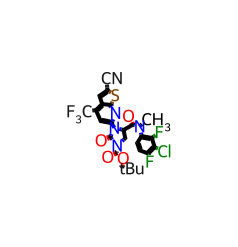 CN(C(=O)C1CN(C(=O)OC(C)(C)C)C(=O)N1c1cc(C(F)(F)F)c2cc(C#N)sc2n1)c1ccc(F)c(Cl)c1F